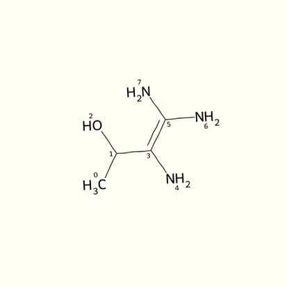 CC(O)C(N)=C(N)N